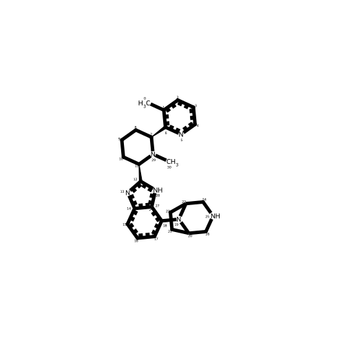 Cc1cccnc1[C@@H]1CCC[C@H](c2nc3cccc(N4C5CCC4CNC5)c3[nH]2)N1C